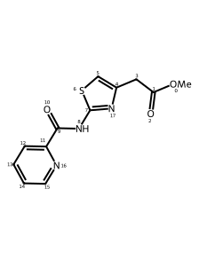 COC(=O)Cc1csc(NC(=O)c2ccccn2)n1